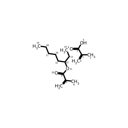 C=C(C)C(=O)O.C=C(C)C(=O)OC(CC)CCCCC